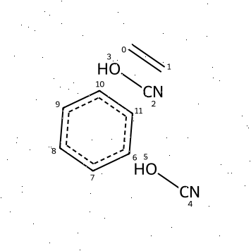 C=C.N#CO.N#CO.c1ccccc1